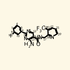 Nc1nc(-c2cccc(F)c2)ncc1C(=O)NCc1ncccc1C(F)(F)F